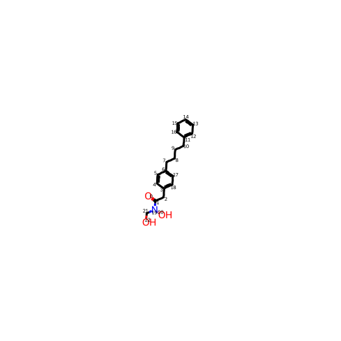 O=C(Cc1ccc(CCCCc2ccccc2)cc1)N(O)CO